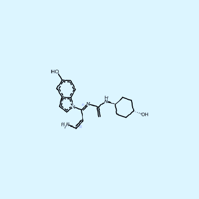 C=C(/N=C(\C=C/N)n1ccc2cc(O)ccc21)N[C@H]1CC[C@H](O)CC1